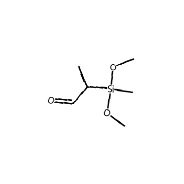 CO[Si](C)(OC)C(C)C=O